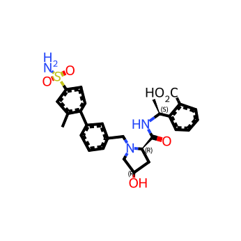 Cc1cc(S(N)(=O)=O)ccc1-c1cccc(CN2C[C@H](O)C[C@@H]2C(=O)N[C@@H](C)c2ccccc2C(=O)O)c1